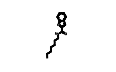 CCCCCCCNC(=O)c1cc2ccccc2o1